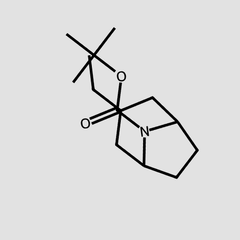 CCC1CC2CCC(C1)N2C(=O)OC(C)(C)C